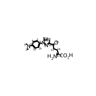 CN(C)c1ccc(-n2nnc(C(=O)CC[C@H](N)C(=O)O)n2)cc1